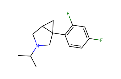 CC(C)N1CC2CC2(c2ccc(F)cc2F)C1